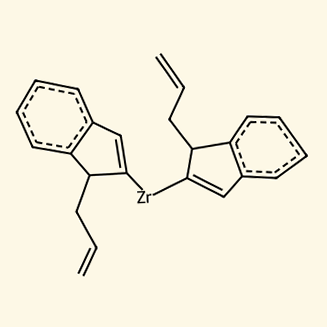 C=CCC1[C]([Zr][C]2=Cc3ccccc3C2CC=C)=Cc2ccccc21